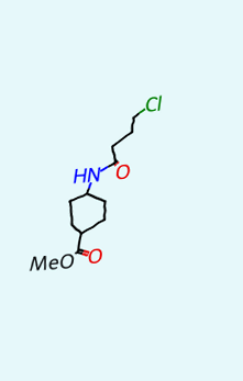 COC(=O)C1CCC(NC(=O)CCCCl)CC1